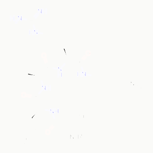 CC[C@H](C)[C@H](NC(C)=O)C(=O)N[C@@H](CCC(=O)O)C(=O)N[C@@H](C)C(=O)N[C@@H](CCCNC(=N)N)C(=O)Nc1ccc([N+](=O)[O-])cc1